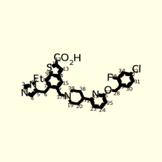 CCn1cncc1Cc1cc2sc(C(=O)O)cc2cc1CN1CCC(c2cccc(OCc3ccc(Cl)cc3F)n2)CC1